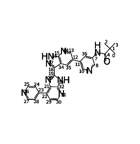 CC(C)(C)C(=O)Nc1cncc(-c2cnc3[nH]nc(-c4nc5c(-c6ccncc6)ccnc5[nH]4)c3c2)c1